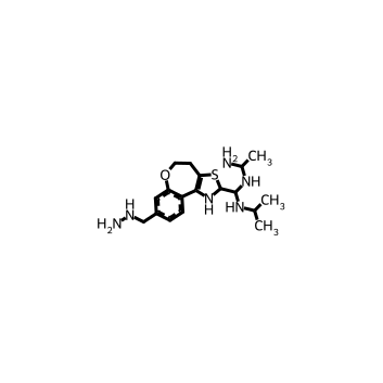 CC(C)NC(NC(C)N)C1NC2=C(CCOc3cc(CNN)ccc32)S1